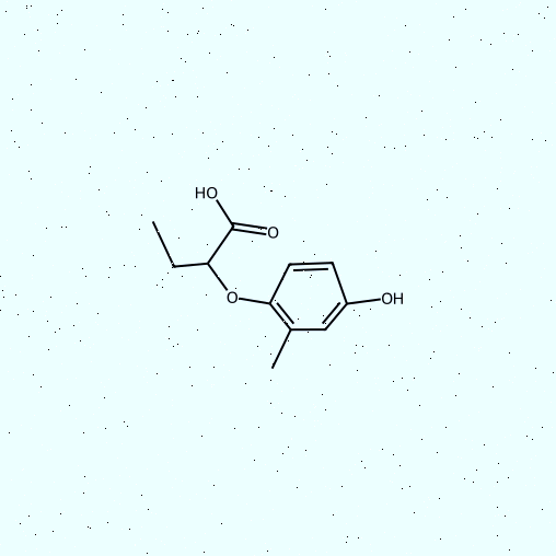 CCC(Oc1ccc(O)cc1C)C(=O)O